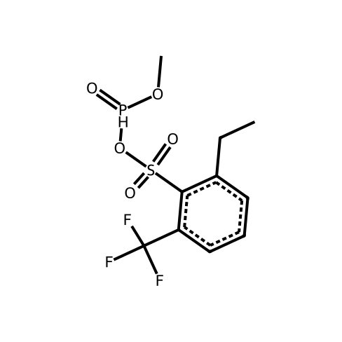 CCc1cccc(C(F)(F)F)c1S(=O)(=O)O[PH](=O)OC